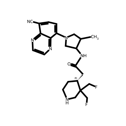 CC1CN(c2ccc(C#N)c3nccnc23)CC1NC(=O)C[C@H]1CCNCC1(CF)CF